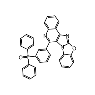 O=P(c1ccccc1)(c1ccccc1)c1cccc(-c2nc3ccccc3c3nc4oc5ccccc5n4c23)c1